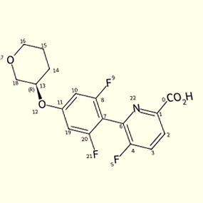 O=C(O)c1ccc(F)c(-c2c(F)cc(O[C@@H]3CCCOC3)cc2F)n1